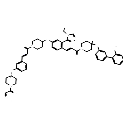 C=CC(=O)N1CC[C@@H](Oc2cccc(/C=C/C(=O)N3CCC(Oc4ccc(/C=C/C(=O)N5CCC(C)(Oc6cccc(-c7ccccc7OC)c6)CC5)c(-c5nncn5CC)c4)CC3)c2)[C@H](F)C1